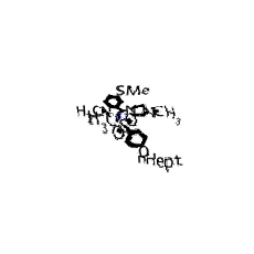 C=Nc1ccc(SC)cc1/C(=C(\C)S(=O)(=O)c1ccc(OCCCCCCC)cc1)N1CCN(C)CC1